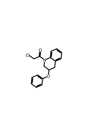 O=C(CCl)N1CC(Oc2ccccc2)Cc2ccccc21